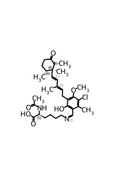 COc1c(Cl)c(C)c(/C=N\CCCC[C@H](NC(C)=O)C(=O)O)c(O)c1C/C=C(C)/C=C/[C@@]1(C)[C@H](C)CCC(=O)[C@@H]1C